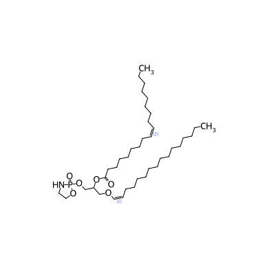 CCCCCCCC/C=C\CCCCCCCC(=O)OC(CO/C=C\CCCCCCCCCCCCCC)COP1(=O)NCCO1